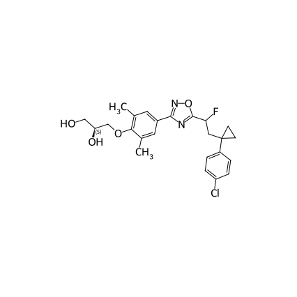 Cc1cc(-c2noc(C(F)CC3(c4ccc(Cl)cc4)CC3)n2)cc(C)c1OC[C@@H](O)CO